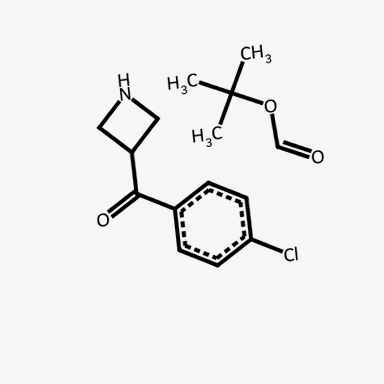 CC(C)(C)OC=O.O=C(c1ccc(Cl)cc1)C1CNC1